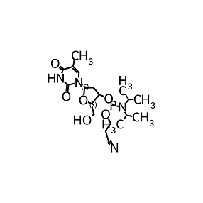 Cc1cn([C@@H]2CC(OP(OCCC#N)N(C(C)C)C(C)C)[C@@H](CO)O2)c(=O)[nH]c1=O